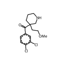 COCCC1(C(=O)c2ccc(Cl)c(Cl)c2)CCCNC1